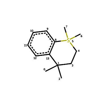 CC1(C)CCS(C)(C)c2ccccc21